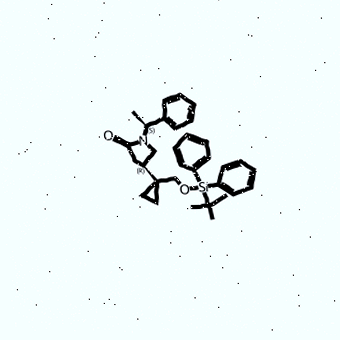 C[C@@H](c1ccccc1)N1C[C@@H](C2(CO[Si](c3ccccc3)(c3ccccc3)C(C)(C)C)CC2)CC1=O